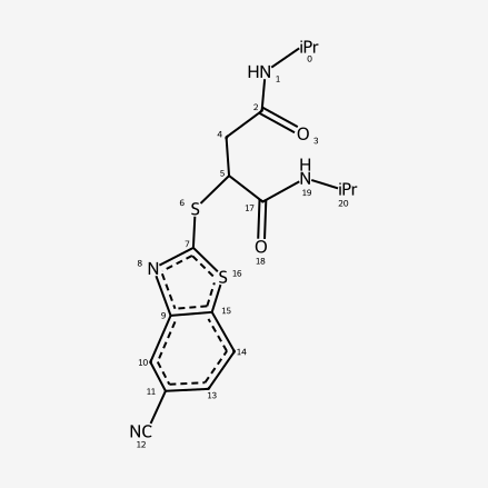 CC(C)NC(=O)CC(Sc1nc2cc(C#N)ccc2s1)C(=O)NC(C)C